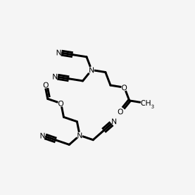 CC(=O)OCCN(CC#N)CC#N.N#CCN(CC#N)CCOC=O